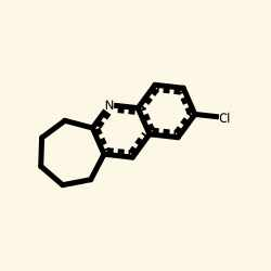 Clc1ccc2nc3c(cc2c1)CCCCC3